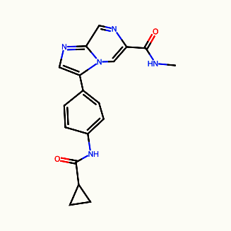 CNC(=O)c1cn2c(-c3ccc(NC(=O)C4CC4)cc3)cnc2cn1